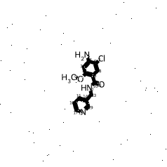 COc1cc(N)c(Cl)cc1C(=O)NCc1cccnc1